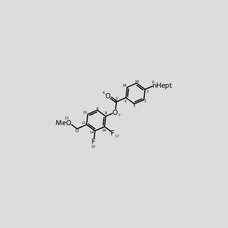 CCCCCCCc1ccc(C(=O)Oc2ccc(COC)c(F)c2F)cc1